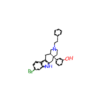 Oc1cccc(C23CCN(CCc4ccccc4)CC2Cc2c([nH]c4cc(Br)ccc24)C3)c1